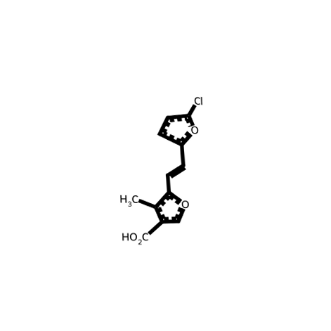 Cc1c(C(=O)O)coc1C=Cc1ccc(Cl)o1